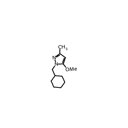 COc1cc(C)nn1CC1CCCCC1